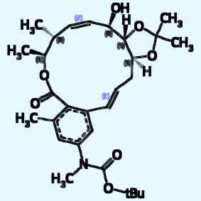 Cc1cc(N(C)C(=O)OC(C)(C)C)cc2c1C(=O)O[C@@H](C)[C@H](C)/C=C\[C@@H](O)[C@@H]1OC(C)(C)O[C@H]1C/C=C/2